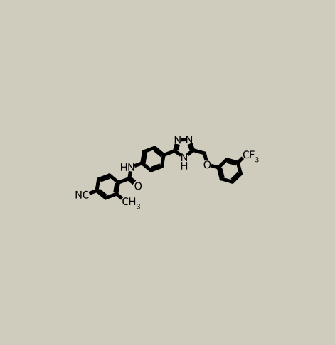 Cc1cc(C#N)ccc1C(=O)Nc1ccc(-c2nnc(COc3cccc(C(F)(F)F)c3)[nH]2)cc1